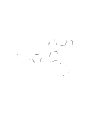 COP(C)c1ccc(-c2cc(N3CCOCC3)nc3c(-c4ccn[nH]4)nccc23)cc1